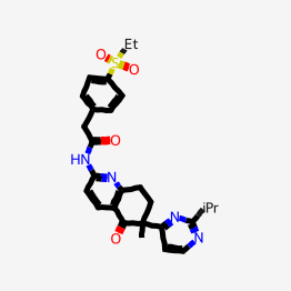 CCS(=O)(=O)c1ccc(CC(=O)Nc2ccc3c(n2)CCC(C)(c2ccnc(C(C)C)n2)C3=O)cc1